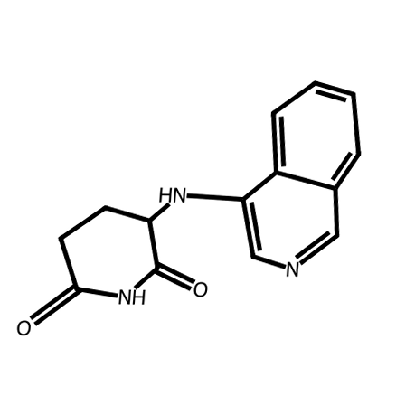 O=C1CCC(Nc2cncc3ccccc23)C(=O)N1